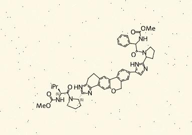 COC(=O)NC(C(=O)N1CCCC1c1ncc(-c2ccc3c(c2)COc2cc4c(cc2-3)CCc2[nH]c([C@@H]3CCCN3C(=O)[C@@H](NC(=O)OC)C(C)C)nc2-4)[nH]1)c1ccccc1